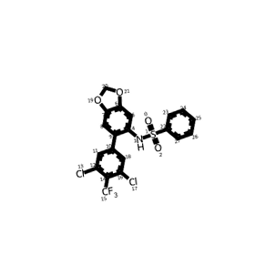 O=S(=O)(Nc1cc2c(cc1-c1cc(Cl)c(C(F)(F)F)c(Cl)c1)OCO2)c1ccccc1